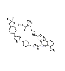 Cc1cccc(C)c1/N=C(/N/N=C/c1ccc(-c2ncn(-c3ccc(OC(F)(F)F)cc3)n2)cc1)SCC(=O)NCCCN(C)C(=O)O